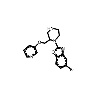 Brc1ccc2oc(N3CCNCC3COc3cccnc3)nc2c1